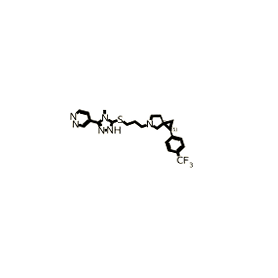 CN1C(c2ccnnc2)=NNC1SCCCN1CC[C@]2(C[C@H]2c2ccc(C(F)(F)F)cc2)C1